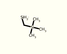 C[Si](C)(C)C[SiH2]